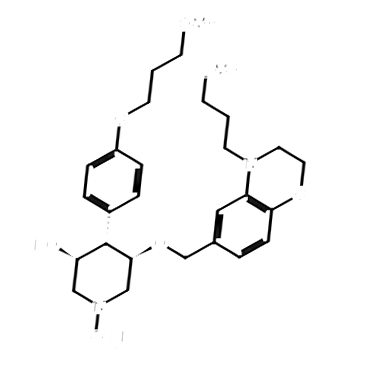 COCCCOc1ccc([C@H]2[C@H](O)CN(C(=O)O)C[C@@H]2OCc2ccc3c(c2)N(CCCOC)CCO3)cc1